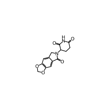 O=C1CCC(N2Cc3cc4c(cc3C2=O)OCO4)C(=O)N1